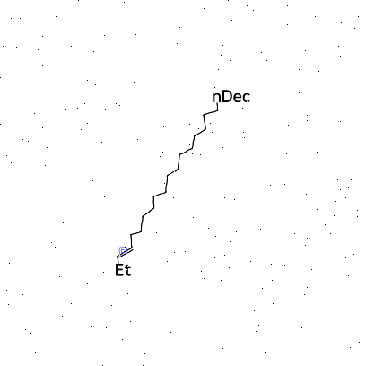 CC/C=C/CCCCCCCCCCCCCCCCCCCCCCCC